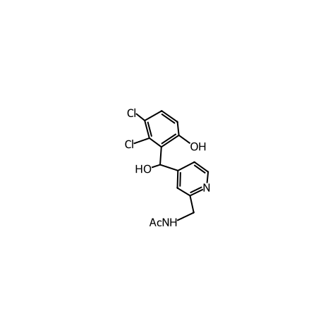 CC(=O)NCc1cc(C(O)c2c(O)ccc(Cl)c2Cl)ccn1